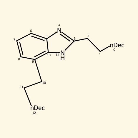 CCCCCCCCCCCCc1nc2cccc(CCCCCCCCCCCC)c2[nH]1